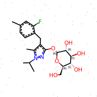 Cc1ccc(Cc2c(O[C@H]3O[C@H](CO)[C@@H](O)[C@H](O)[C@H]3O)nn(C(C)C)c2C)c(F)c1